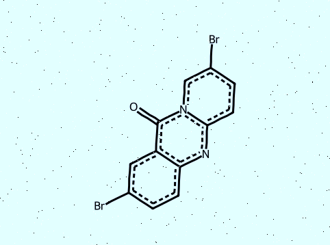 O=c1c2cc(Br)ccc2nc2ccc(Br)cn12